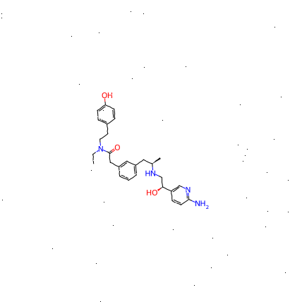 CCN(CCc1ccc(O)cc1)C(=O)Cc1cccc(C[C@@H](C)NC[C@H](O)c2ccc(N)nc2)c1